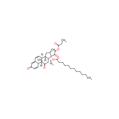 CCCCCCCCCCCC(=O)O[C@@]1(C(=O)COC(=O)CC)[C@H](C)C[C@H]2[C@@H]3C=CC4=CC(=O)C=C[C@]4(C)[C@H]3C(=O)C[C@@]21C